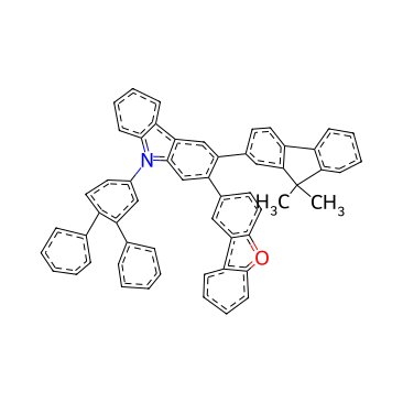 CC1(C)c2ccccc2-c2ccc(-c3cc4c5ccccc5n(-c5ccc(-c6ccccc6)c(-c6ccccc6)c5)c4cc3-c3ccc4oc5ccccc5c4c3)cc21